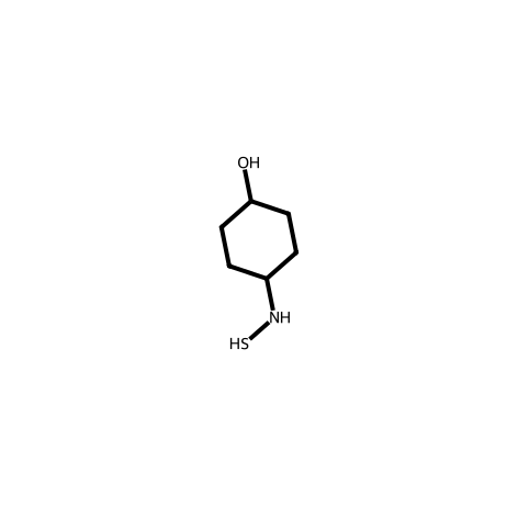 OC1CCC(NS)CC1